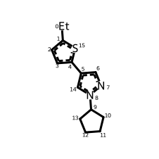 CCc1ccc(-c2cnn(C3CCCC3)c2)s1